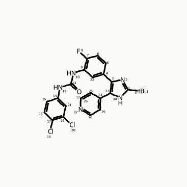 CC(C)(C)c1nc(-c2ccc(F)c(NC(=O)Nc3ccc(Cl)c(Cl)c3)c2)c(-c2ccncc2)[nH]1